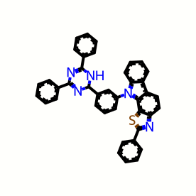 c1ccc(C2=NC(c3cccc(-n4c5ccccc5c5ccc6nc(-c7ccccc7)sc6c54)c3)NC(c3ccccc3)=N2)cc1